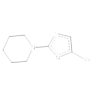 CC(C)c1csc(N2CCCCC2)n1